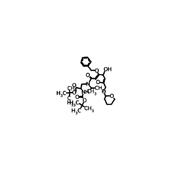 CC(C)N(CC(NC(=O)OC(C)(C)C)C(=O)OC(C)(C)C)C(=O)C1=C(OCc2ccccc2)C(O)C=C(COC2CCCCO2)O1